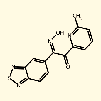 Cc1cccc(C(=O)C(=NO)c2ccc3nsnc3c2)n1